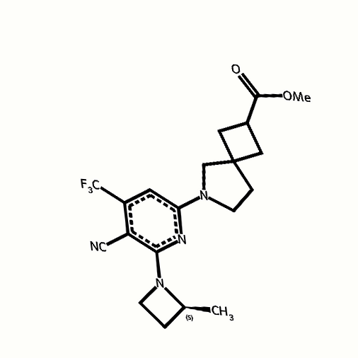 COC(=O)C1CC2(CCN(c3cc(C(F)(F)F)c(C#N)c(N4CC[C@@H]4C)n3)C2)C1